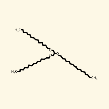 CCCCCCCCC=CCCCCCCCCOC(COCCCCCCCCCCCCCCCC)COCCCCCCCCCCCCCCCC